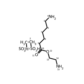 CS(=O)(=O)O.CS(=O)(=O)O.NCCCCCC(=O)OCCN